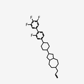 C=CCC1CCC2CC(C3CCC(c4ccc(-c5cc(F)c(F)c(F)c5)c(F)c4)CC3)CC2CC1